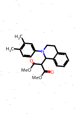 COC(=O)C(C(=O)OC)C1c2ccccc2CCN1c1ccc(C)c(C)c1